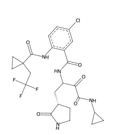 O=C(NC1CC1)C(=O)C(C[C@@H]1CCNC1=O)NC(=O)c1cc(Cl)ccc1NC(=O)C1(CC(F)(F)F)CC1